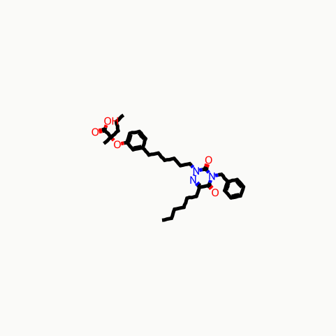 CCCCCCc1nn(CCCCCCc2cccc(OC(C)(CCC)C(=O)O)c2)c(=O)n(Cc2ccccc2)c1=O